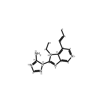 CC=Cc1cncc2nc(-n3ncnc3N)n(CC)c12